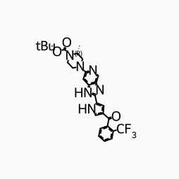 C[C@@H]1CN(c2cc3[nH]c(-c4cc(C(=O)c5ccccc5C(F)(F)F)c[nH]4)nc3cn2)CCN1C(=O)OC(C)(C)C